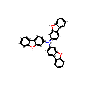 c1ccc2c(c1)oc1cc(N(c3ccc4c(c3)oc3ccccc34)c3ccc4c(c3)oc3ccccc34)ccc12